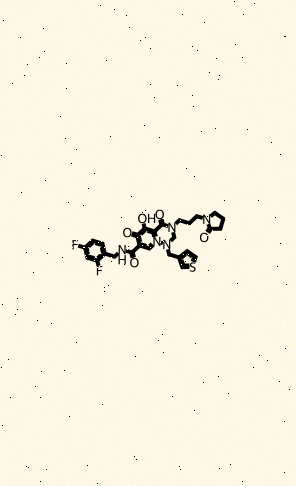 O=C(NCc1ccc(F)cc1F)c1cn2c(c(O)c1=O)C(=O)N(CCCN1CCCC1=O)CN2Cc1ccsc1